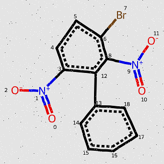 O=[N+]([O-])c1ccc(Br)c([N+](=O)[O-])c1-c1ccccc1